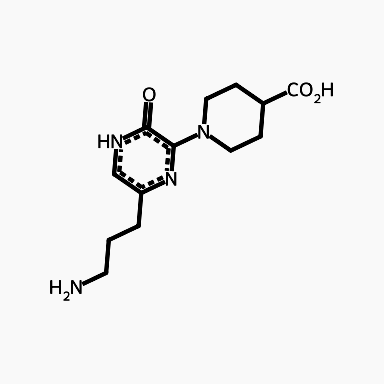 NCCCc1c[nH]c(=O)c(N2CCC(C(=O)O)CC2)n1